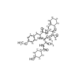 COc1ccc(C[C@H](NC(=O)[C@@H](C)NC(=O)C2CCC(O)CC2)C(=O)N[C@@H](CC2=CCCCC2)C(=O)[C@@]2(C)CO2)cc1